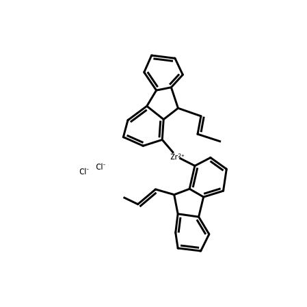 CC=CC1c2ccccc2-c2ccc[c]([Zr+2][c]3cccc4c3C(C=CC)c3ccccc3-4)c21.[Cl-].[Cl-]